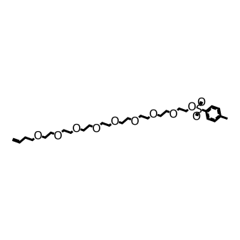 C=CCCOCCOCCOCCOCCOCCOCCOCCOCCOS(=O)(=O)c1ccc(C)cc1